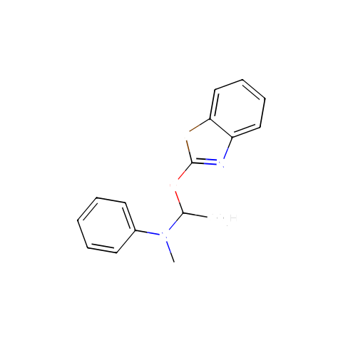 CN(c1ccccc1)C(Oc1nc2ccccc2s1)C(=O)O